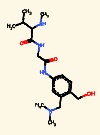 CNC(C(=O)NCC(=O)Nc1ccc(CO)c(CN(C)C)c1)C(C)C